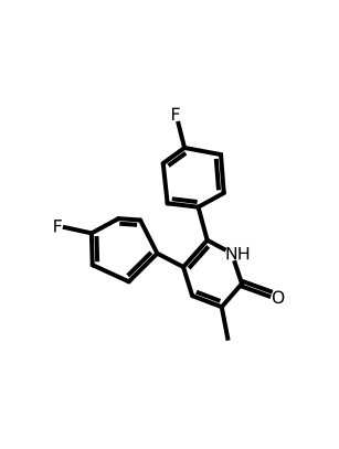 Cc1cc(-c2ccc(F)cc2)c(-c2ccc(F)cc2)[nH]c1=O